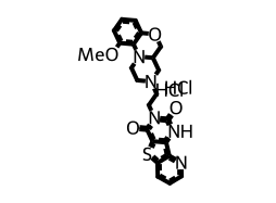 COc1cccc2c1N1CCN(CCn3c(=O)[nH]c4c(sc5cccnc54)c3=O)CC1CO2.Cl.Cl